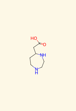 O=C(O)CC1CCNCCN1